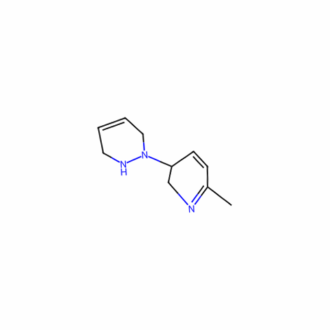 CC1=NCC(N2CC=CCN2)C=C1